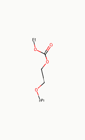 CCCOCCOC(=O)OCC